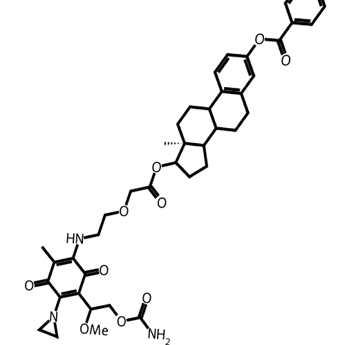 COC(COC(N)=O)C1=C(N2CC2)C(=O)C(C)=C(NCCOCC(=O)OC2CCC3C4CCc5cc(OC(=O)c6ccccc6)ccc5C4CC[C@]23C)C1=O